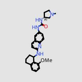 COc1cccc2c1C(Nc1ccc3cc(NC(=O)N[C@@H]4CCN(C)C4)ccc3n1)CCC2